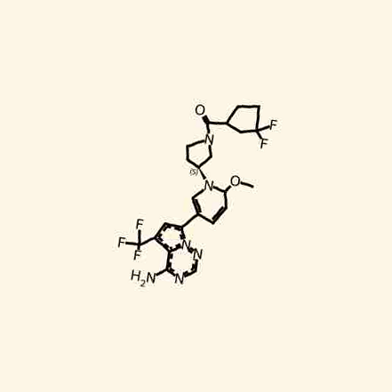 COC1C=CC(c2cc(C(F)(F)F)c3c(N)ncnn23)=CN1[C@H]1CCN(C(=O)C2CCC(F)(F)C2)C1